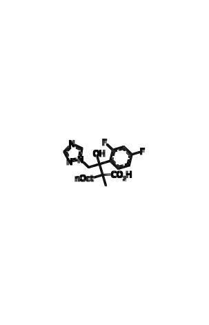 CCCCCCCCC(C)(C(=O)O)C(O)(Cn1cncn1)c1ccc(F)cc1F